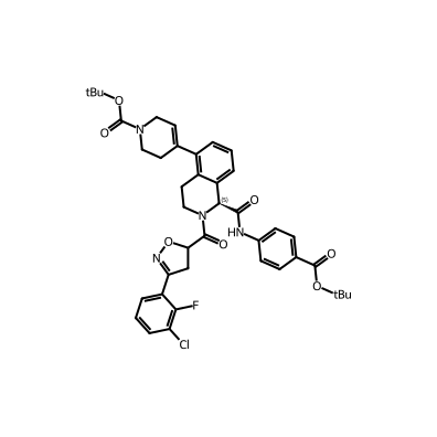 CC(C)(C)OC(=O)c1ccc(NC(=O)[C@@H]2c3cccc(C4=CCN(C(=O)OC(C)(C)C)CC4)c3CCN2C(=O)C2CC(c3cccc(Cl)c3F)=NO2)cc1